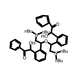 CCCCN(CCCC)CC(OC(CN(CCCC)CCCC)c1ccccc1C(O)C(=O)c1ccccc1)c1ccccc1C(O)C(=O)c1ccccc1